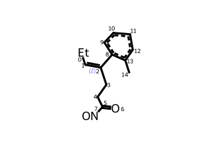 CC/C=C(/CCC(=O)N=O)c1ccccc1C